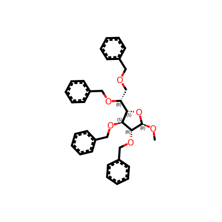 CO[C@@H]1O[C@@H]([C@@H](COCc2ccccc2)OCc2ccccc2)[C@H](OCc2ccccc2)[C@H]1OCc1ccccc1